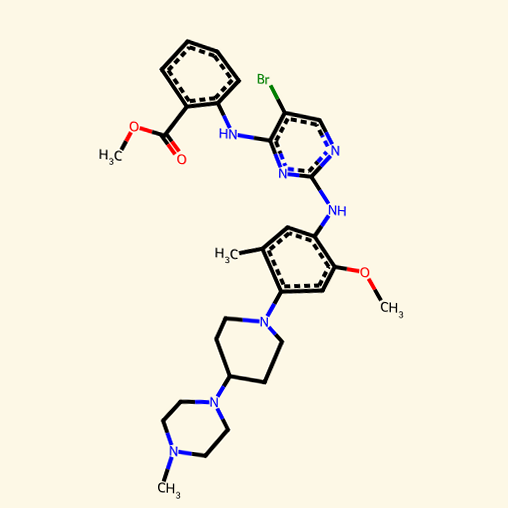 COC(=O)c1ccccc1Nc1nc(Nc2cc(C)c(N3CCC(N4CCN(C)CC4)CC3)cc2OC)ncc1Br